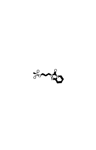 CS(=O)(=O)OCCCn1nc2ccccn2c1=O